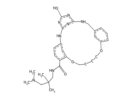 CN(C)CC(C)(C)CNC(=O)c1ccc2cc1OCCCCOc1cccc(c1)CNc1nc(O)nc(n1)N2